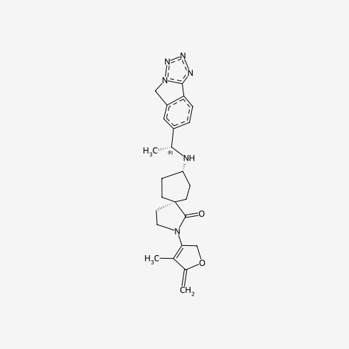 C=C1OCC(N2CC[C@]3(CC[C@@H](N[C@H](C)c4ccc5c(c4)Cn4nnnc4-5)CC3)C2=O)=C1C